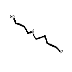 OCCCOCCCCS